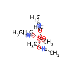 CCCCCc1ccc(/N=N/c2ccc(OC(CCCC)CCCCCOc3cc(C(=O)OCC)cc(OCCCCCC(CCCC)Oc4ccc(/N=N/c5ccc(CCCCC)cc5)cc4)c3OCCCCCC(CCCC)Oc3ccc(/N=N/c4ccc(CCCCC)cc4)cc3)cc2)cc1